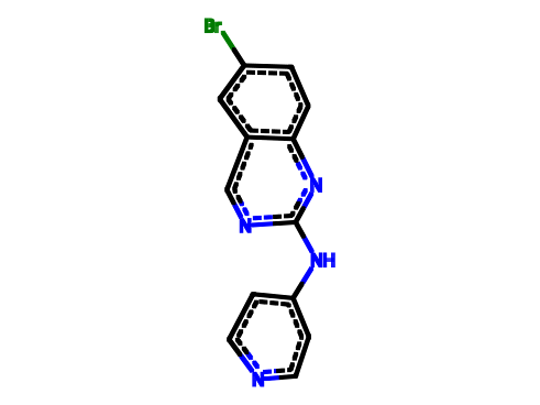 Brc1ccc2nc(Nc3ccncc3)ncc2c1